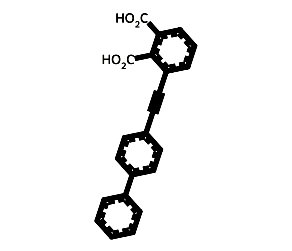 O=C(O)c1cccc(C#Cc2ccc(-c3ccccc3)cc2)c1C(=O)O